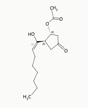 CCCCCC/C=C(/O)[C@@H]1CC(=O)C[C@H]1OC(C)=O